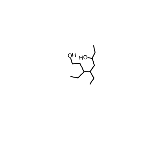 CCC(O)CC(CC)C(CC)CCO